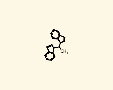 CC(C1C=Cc2ccccc21)C1C=Cc2ccccc21